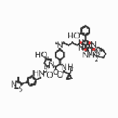 Cc1ncsc1-c1ccc(CNC(=O)[C@@H]2C[C@@H](O)CN2C(=O)C(NC(=O)C2(F)CC2)C2CCC(N(C)CCCCCc3cnc(N4C5CCC4CN(c4cc(-c6ccccc6O)nnc4N)C5)nc3)CC2)cc1